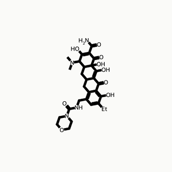 CCc1cc(CNC(=O)N2CCOCC2)c2c(c1O)C(=O)C1=C(O)C3(O)C(=O)C(C(N)=O)=C(O)C(N(C)C)C3CC1C2